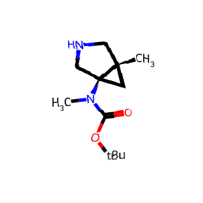 CN(C(=O)OC(C)(C)C)[C@@]12CNC[C@]1(C)C2